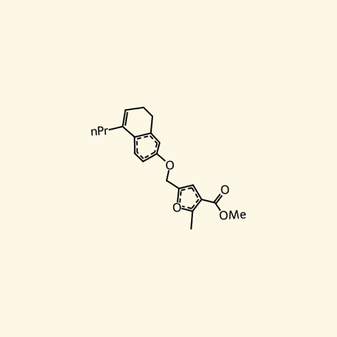 CCCC1=CCCc2cc(OCc3cc(C(=O)OC)c(C)o3)ccc21